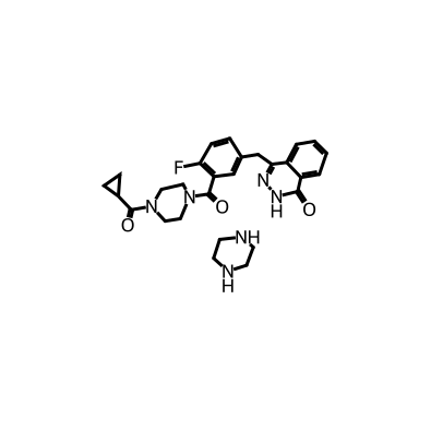 C1CNCCN1.O=C(c1cc(Cc2n[nH]c(=O)c3ccccc23)ccc1F)N1CCN(C(=O)C2CC2)CC1